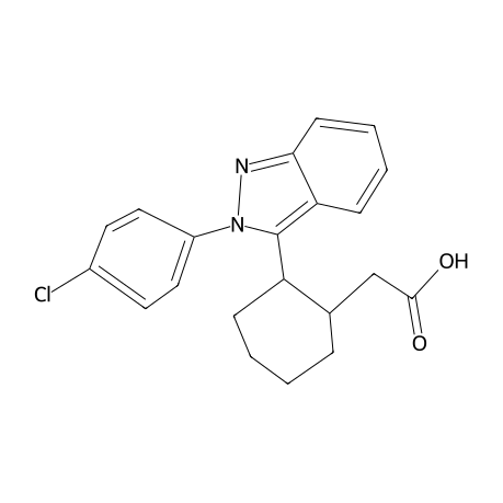 O=C(O)CC1CCCCC1c1c2ccccc2nn1-c1ccc(Cl)cc1